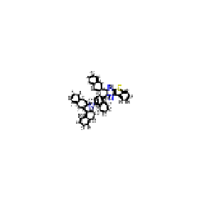 CC12Cc3ccccc3C=C1c1c(ccc3ccccc13)N2C1=c2ccccc2=C(c2nc3c(nc2-c2ccc4ccccc4c2)sc2ccccc23)CC1